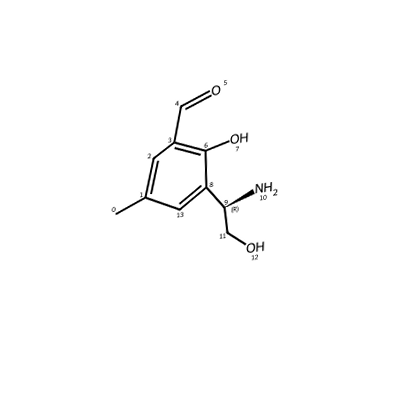 Cc1cc(C=O)c(O)c([C@@H](N)CO)c1